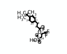 CC(C)(C)c1ccc(CCC(=O)OC(CS(=O)(=O)O)C(F)(F)F)cc1